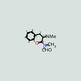 CNC(Cc1ccccc1)C(=O)N(C)C=O